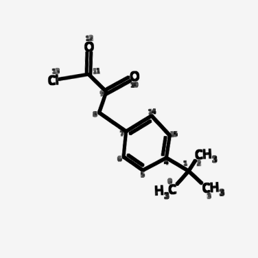 CC(C)(C)c1ccc(CC(=O)C(=O)Cl)cc1